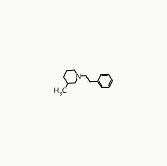 CC1CCCN(C[CH]c2ccccc2)C1